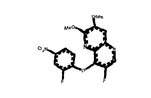 COc1cc2ncc(F)c(Oc3ccc([N+](=O)[O-])cc3F)c2nc1OC